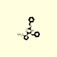 O=C(N[C@@H](Cc1ccccc1)C(=O)N1CCC[C@H]1C(=O)O)OCc1ccccc1